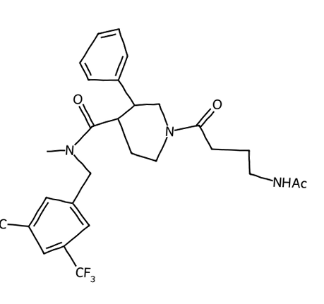 CC(=O)NCCCC(=O)N1CCC(C(=O)N(C)Cc2cc(C(F)(F)F)cc(C(F)(F)F)c2)C(c2ccccc2)C1